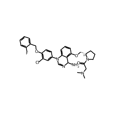 CN(C)CC(=O)N1CCC[C@H]1COc1cccc2c1C(N)N=CN2c1ccc(OCc2ccccc2F)c(Cl)c1